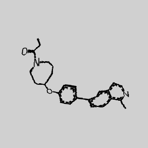 CCC(=O)N1CCC(Oc2ccc(-c3ccc4c(C)nccc4c3)cc2)CC1